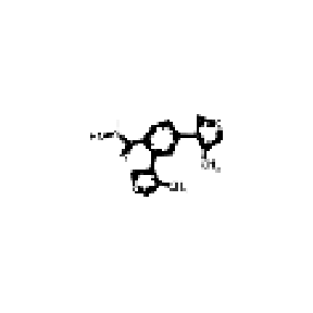 Cc1cscc1-c1ccc(C(=O)NO)c(-c2cscc2C)c1